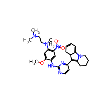 COc1cc(N(C)CCN(C)C)c([N+](=O)[O-])cc1Nc1nccc(C2=C3CCCCN3C3=CC=CCC32)n1